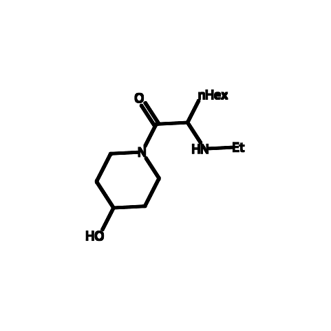 CCCCCCC(NCC)C(=O)N1CCC(O)CC1